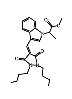 CCCCN1C(=O)C(=Cc2cn(C(C)C(=O)OC)c3ccccc23)C(=O)N1CCCC